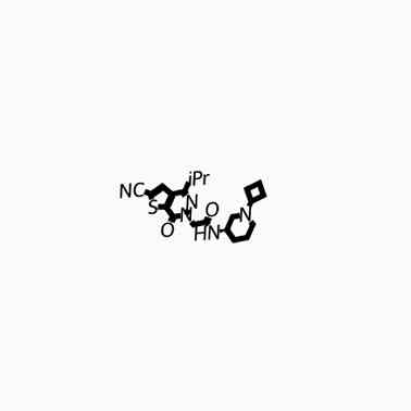 CC(C)c1nn(CC(=O)N[C@@H]2CCCN(C3CCC3)C2)c(=O)c2sc(C#N)cc12